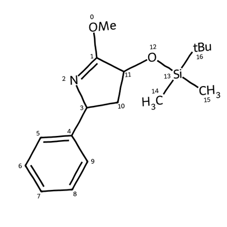 COC1=NC(c2ccccc2)CC1O[Si](C)(C)C(C)(C)C